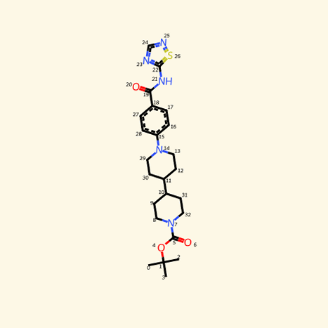 CC(C)(C)OC(=O)N1CCC(C2CCN(c3ccc(C(=O)Nc4ncns4)cc3)CC2)CC1